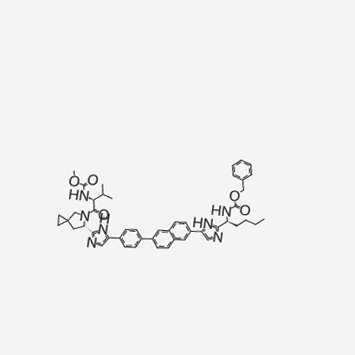 CCCC[C@H](NC(=O)OCc1ccccc1)c1ncc(-c2ccc3cc(-c4ccc(-c5cnc([C@@H]6CC7(CC7)CN6C(=O)[C@@H](NC(=O)OC)C(C)C)[nH]5)cc4)ccc3c2)[nH]1